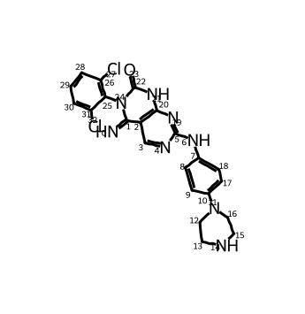 N=c1c2cnc(Nc3ccc(N4CCNCC4)cc3)nc2[nH]c(=O)n1-c1c(Cl)cccc1Cl